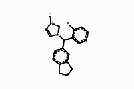 Fc1ccccc1C(c1ccc2c(c1)CCC2)N1C=CN(Cl)C1